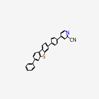 N#Cc1cc(-c2ccc(-c3ccc4c(c3)sc3cc(-c5ccccc5)ccc34)cc2)ccn1